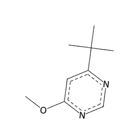 COc1cc(C(C)(C)C)ncn1